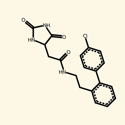 O=C(CC1NC(=O)NC1=O)NCCc1ccccc1-c1ccc(Cl)cc1